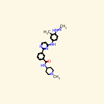 C=NNc1ccc(Nc2ccnc(-c3cccc(C(=O)NC4CCN(C)CC4)c3)n2)cc1C